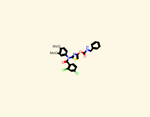 COc1ccc(N(C(=O)c2ccc(Cl)cc2Cl)c2nc(OC(=O)NCc3ccccc3)cs2)cc1OC